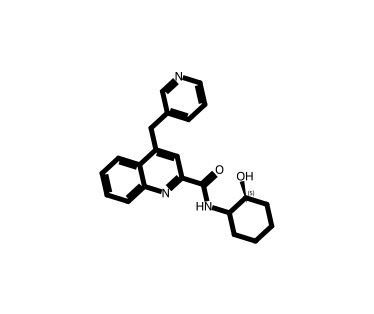 O=C(NC1CCCC[C@@H]1O)c1cc(Cc2cccnc2)c2ccccc2n1